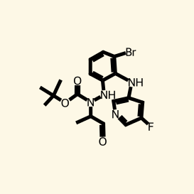 CC(C=O)N(Nc1cccc(Br)c1Nc1cncc(F)c1)C(=O)OC(C)(C)C